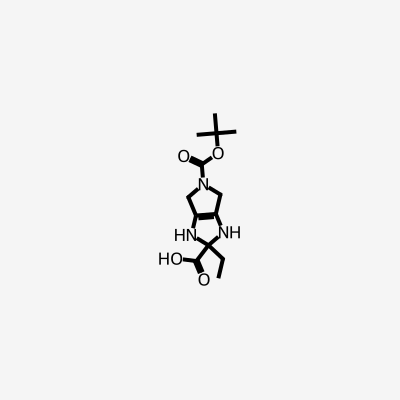 CCC1(C(=O)O)NC2=C(CN(C(=O)OC(C)(C)C)C2)N1